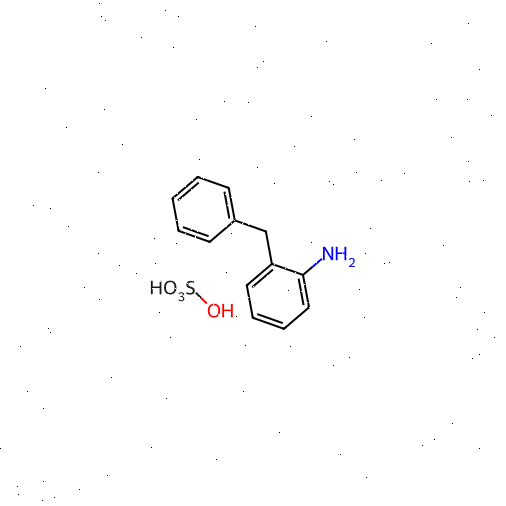 Nc1ccccc1Cc1ccccc1.O=S(=O)(O)O